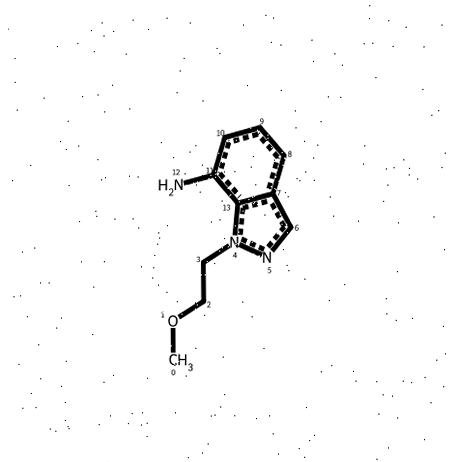 COCCn1ncc2cccc(N)c21